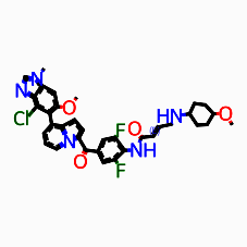 COc1cc2c(ncn2C)c(Cl)c1-c1cccn2c(C(=O)c3cc(F)c(NC(=O)/C=C/CNC4CCC(OC)CC4)c(F)c3)ccc12